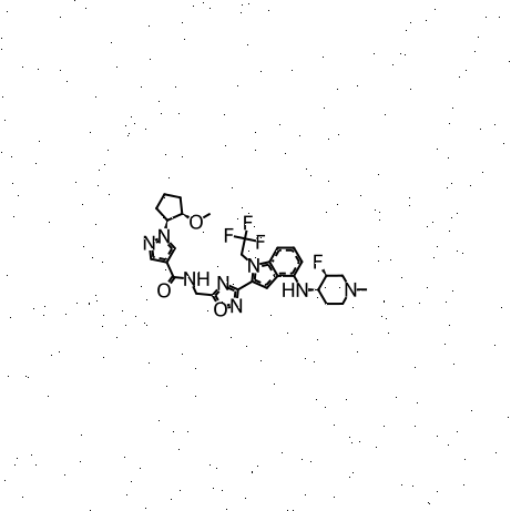 CO[C@@H]1CCC[C@@H]1n1cc(C(=O)NCc2nc(-c3cc4c(N[C@@H]5CCN(C)C[C@@H]5F)cccc4n3CC(F)(F)F)no2)cn1